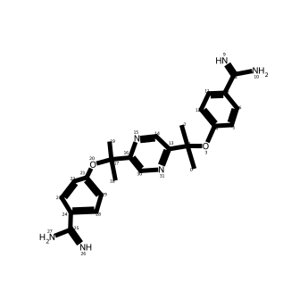 CC(C)(Oc1ccc(C(=N)N)cc1)c1cnc(C(C)(C)Oc2ccc(C(=N)N)cc2)cn1